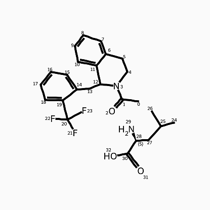 CC(=O)N1CCc2ccccc2C1Cc1ccccc1C(F)(F)F.CC(C)C[C@H](N)C(=O)O